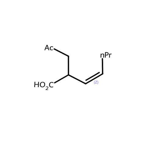 CCC/C=C\C(CC(C)=O)C(=O)O